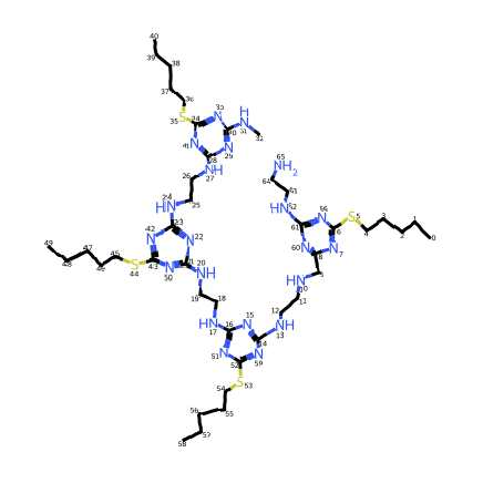 CCCCCSc1nc(CNCCNc2nc(NCCNc3nc(NCCNc4nc(NC)nc(SCCCCC)n4)nc(SCCCCC)n3)nc(SCCCCC)n2)nc(NCCN)n1